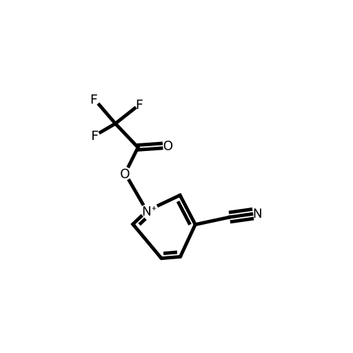 N#Cc1ccc[n+](OC(=O)C(F)(F)F)c1